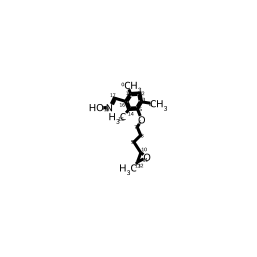 Cc1cc(C)c(OCCCC2OC2C)c(C)c1C=NO